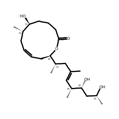 CC(=C[C@@H](C)[C@H](O)C[C@@H](C)O)C[C@H](C)[C@H]1CC=CC[C@H](C)[C@@H](O)CCCC(=O)O1